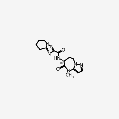 CN1C(=O)[C@@H](NC(=O)c2nc3n(n2)CCCC3)CCn2nccc21